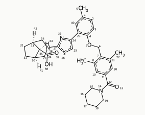 Cc1ccc(OCc2c(C)cc(C(=O)N3CCCCC3)cc2C)c(-c2csc(N3C[C@H]4CC[C@@H](C3)[C@H]4C(=O)O)n2)c1